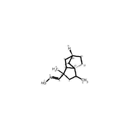 CC1CC(C)(C=NO)C2C[C@@H]3CC[C@]12C3